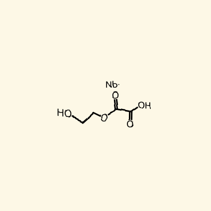 O=C(O)C(=O)OCCO.[Nb]